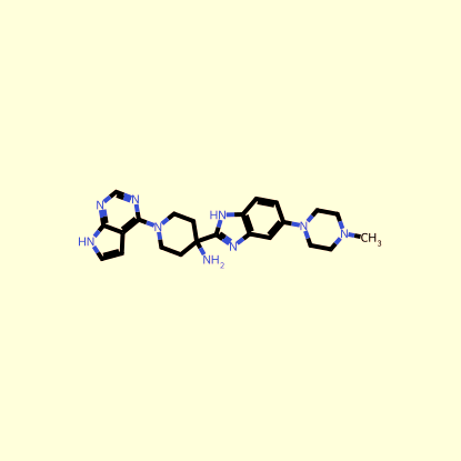 CN1CCN(c2ccc3[nH]c(C4(N)CCN(c5ncnc6[nH]ccc56)CC4)nc3c2)CC1